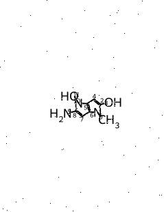 Cn1c(O)cc2c1cc(N)n2O